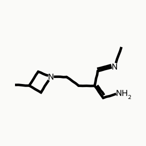 C/N=C/C(=C\N)CCN1CC(C)C1